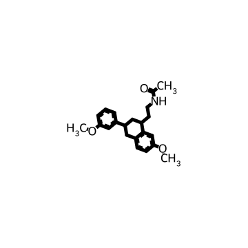 COc1cccc(C2Cc3ccc(OC)cc3C(CCNC(C)=O)C2)c1